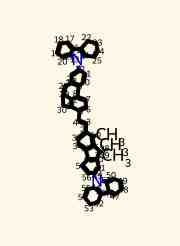 Cc1c(/C=C/C2=CC=C3c4ccc(-n5c6c(c7ccccc75)CCC=C6)cc4C=C4CC2C43)ccc2c1C(C)(C)c1cc(-n3c4c(c5ccccc53)CCC=C4)ccc1-2